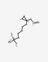 CC(C)OCC1(CCCCCC(F)(F)C(C)C)CC1